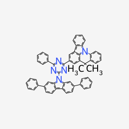 CC1(C)c2ccccc2-n2c3ccccc3c3cc(-c4nc(-c5ccccc5)nc(-n5c6cc(-c7ccccc7)ccc6c6ccc(-c7ccccc7)cc65)n4)cc1c32